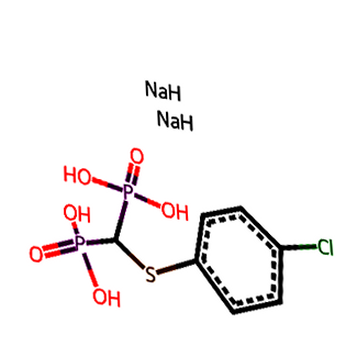 O=P(O)(O)C(Sc1ccc(Cl)cc1)P(=O)(O)O.[NaH].[NaH]